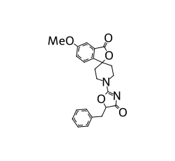 COc1ccc2c(c1)C(=O)OC21CCN(C2=NC(=O)C(Cc3ccccc3)O2)CC1